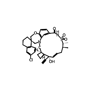 C#C[C@]1(O)/C=C/C[C@H](C)[C@@H](C)S(=O)(=O)NC(=O)c2ccc3c(c2)N(C[C@@H]2CC[C@H]21)C[C@@]1(CCCc2cc(Cl)ccc21)CO3